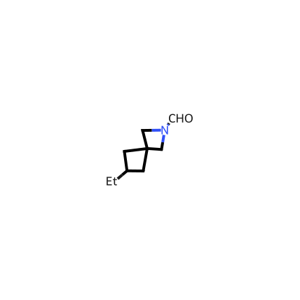 CCC1CC2(C1)CN(C=O)C2